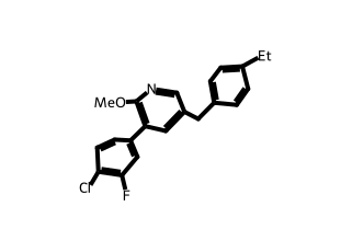 CCc1ccc(Cc2cnc(OC)c(-c3ccc(Cl)c(F)c3)c2)cc1